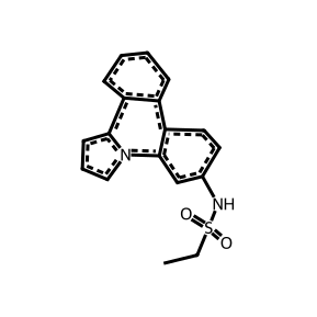 CCS(=O)(=O)Nc1ccc2c3ccccc3c3cccn3c2c1